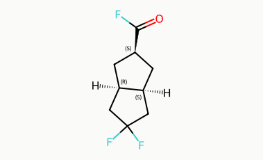 O=C(F)[C@@H]1C[C@@H]2CC(F)(F)C[C@@H]2C1